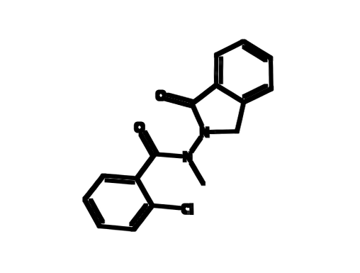 CN(C(=O)c1ccccc1Cl)N1Cc2ccccc2C1=O